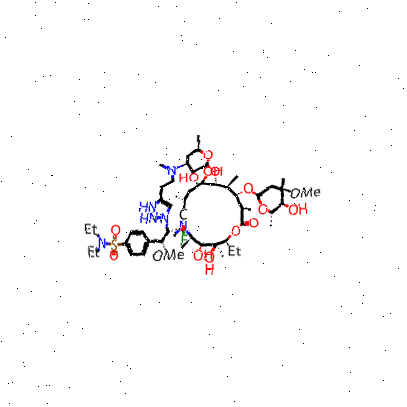 CC[C@H]1OC(=O)[C@H](C)[C@@H](O[C@H]2C[C@@](C)(OC)[C@@H](O)[C@H](C)O2)[C@H](C)[C@@H](O[C@@H]2O[C@H](C)C[C@H](N(C)CCC3=CN([C@H](CF)[C@H](OC)c4ccc(S(=O)(=O)N(CC)CC)cc4)NN3)[C@H]2O)[C@](C)(O)C[C@@H](C)CN(C)[C@H](C)[C@@H](O)[C@]1(C)O